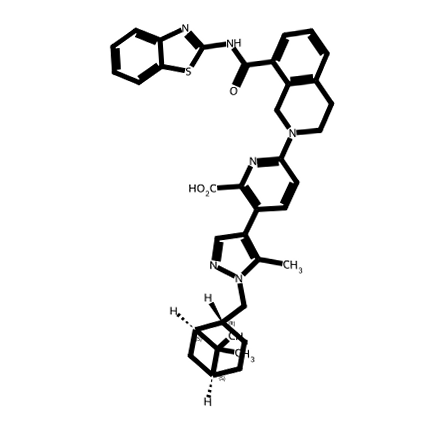 Cc1c(-c2ccc(N3CCc4cccc(C(=O)Nc5nc6ccccc6s5)c4C3)nc2C(=O)O)cnn1C[C@@H]1CC[C@H]2C[C@@H]1C2(C)C